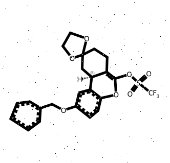 O=S(=O)(OC1=C2CCC3(C[C@@H]2c2cc(OCc4ccccc4)ccc2O1)OCCO3)C(F)(F)F